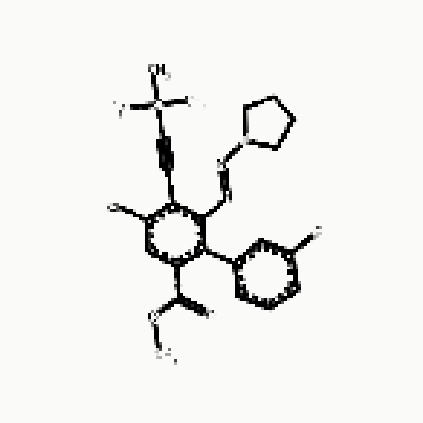 COC(=O)c1cc(Cl)c(C#C[Si](C)(C)C)c(N=NN2CCCC2)c1-c1cccc(F)c1